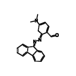 CN(C)C1=CC=C(C=O)C(=NN=C2c3ccccc3-c3ccccc32)C1